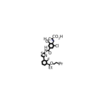 CCC(OCCC(C)C)c1cccc(-c2csc(NC(=O)c3cc(Cl)c(/C=C(\C)C(=O)O)c(Cl)c3)n2)c1F